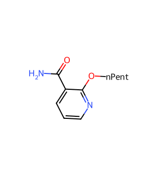 CCCCCOc1ncccc1C(N)=O